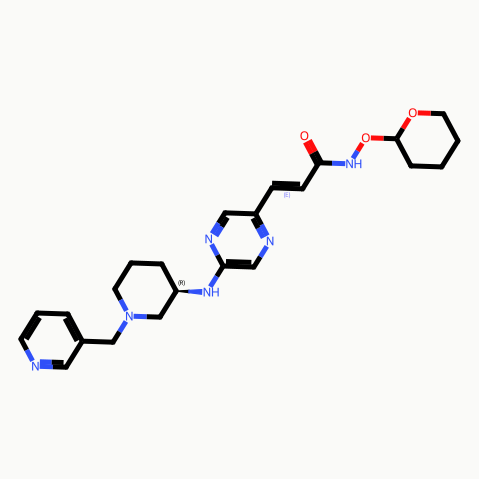 O=C(/C=C/c1cnc(N[C@@H]2CCCN(Cc3cccnc3)C2)cn1)NOC1CCCCO1